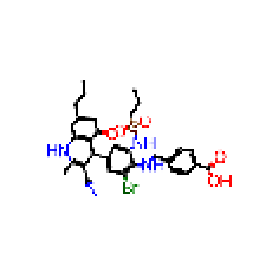 CCCC1CC(=O)C2=C(C1)NC(C)=C(C#N)C2c1cc(Br)c(NCc2ccc(C(=O)O)cc2)c(NS(=O)(=O)CCC)c1